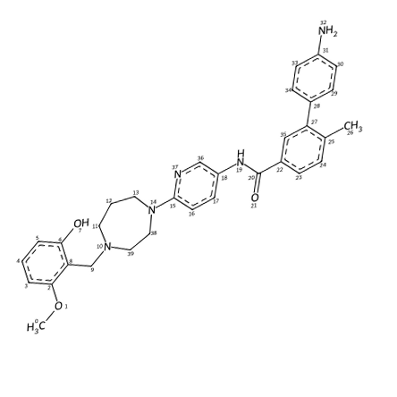 COc1cccc(O)c1CN1CCCN(c2ccc(NC(=O)c3ccc(C)c(-c4ccc(N)cc4)c3)cn2)CC1